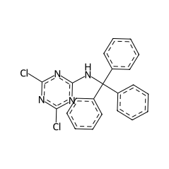 Clc1nc(Cl)nc(NC(c2ccccc2)(c2ccccc2)c2ccccc2)n1